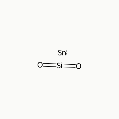 O=[Si]=O.[Sn]